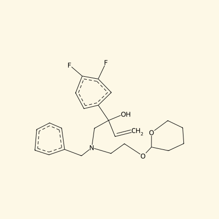 C=CC(O)(CN(CCOC1CCCCO1)Cc1ccccc1)c1ccc(F)c(F)c1